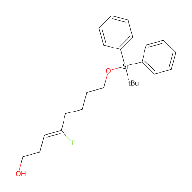 CC(C)(C)[Si](OCCCCC(F)=CCCO)(c1ccccc1)c1ccccc1